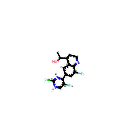 CC(O)c1ccnc2c(F)cc(-c3nc(Cl)ncc3F)cc12